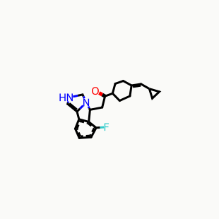 O=C(CC1c2c(F)cccc2C2=CNCN21)C1CCC(=CC2CC2)CC1